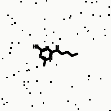 CCCCNc1nc(C)nc(S)n1